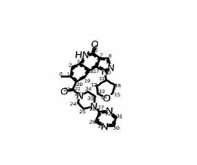 Cc1cc2[nH]c(=O)c3cnn(C4CCOCC4)c3c2cc1C(=O)N1CCN(c2cnccn2)CC1